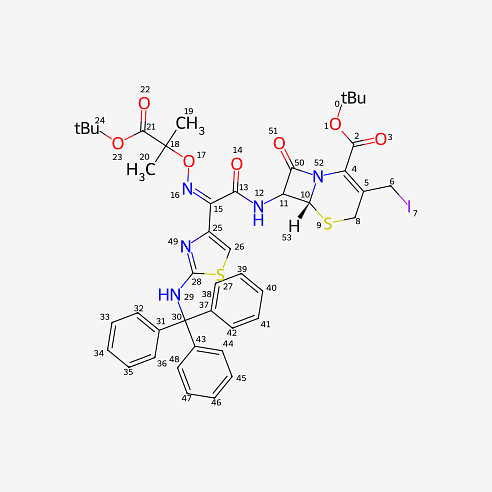 CC(C)(C)OC(=O)C1=C(CI)CS[C@@H]2C(NC(=O)/C(=N\OC(C)(C)C(=O)OC(C)(C)C)c3csc(NC(c4ccccc4)(c4ccccc4)c4ccccc4)n3)C(=O)N12